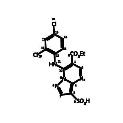 CCOC(=O)c1cnc2c(S(=O)(=O)O)cnn2c1Nc1ccc(Cl)cc1Cl